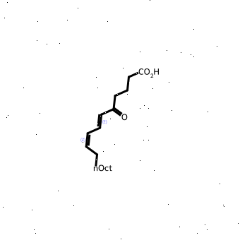 CCCCCCCCC/C=C\C=C\C(=O)CCCC(=O)O